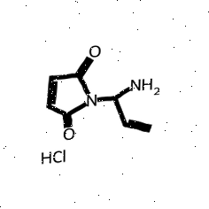 C=CC(N)N1C(=O)C=CC1=O.Cl